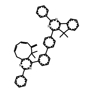 C=C1/C=C\C=C/Cc2nc(-c3ccccc3)nc(-c3cccc(-c4ccc(-c5nc(-c6ccccc6)nc6c5C(C)(C)c5ccccc5-6)cc4)c3)c2C1(C)C